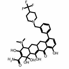 CN(C)C1C(O)=C(C(N)=O)C(O)(O)C2C(O)=C3C(=O)c4c(O)ccc(-c5cccc(CN6CCC(C(F)(F)F)CC6)c5)c4CC3CC12